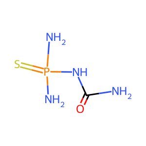 NC(=O)NP(N)(N)=S